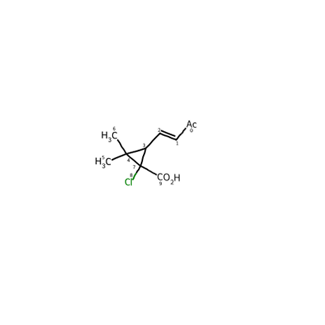 CC(=O)C=CC1C(C)(C)C1(Cl)C(=O)O